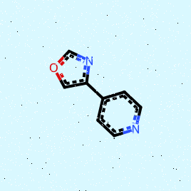 [c]1cc(-c2cocn2)ccn1